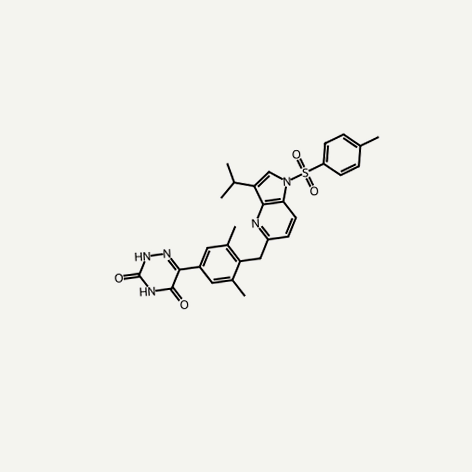 Cc1ccc(S(=O)(=O)n2cc(C(C)C)c3nc(Cc4c(C)cc(-c5n[nH]c(=O)[nH]c5=O)cc4C)ccc32)cc1